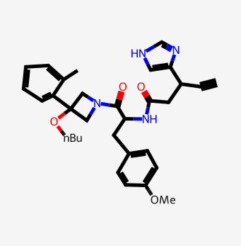 C#CC(CC(=O)NC(Cc1ccc(OC)cc1)C(=O)N1CC(OCCCC)(c2ccccc2C)C1)c1c[nH]cn1